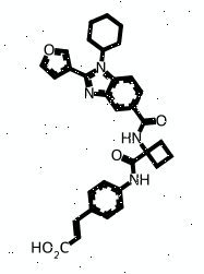 O=C(O)/C=C/c1ccc(NC(=O)C2(NC(=O)c3ccc4c(c3)nc(-c3ccoc3)n4C3CCCCC3)CCC2)cc1